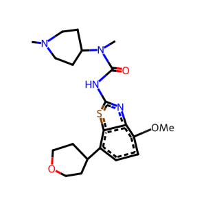 COc1ccc(C2CCOCC2)c2sc(NC(=O)N(C)C3CCN(C)CC3)nc12